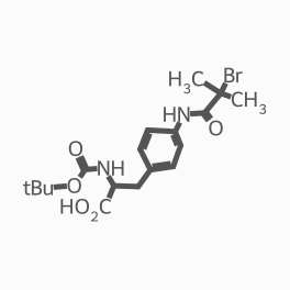 CC(C)(C)OC(=O)NC(Cc1ccc(NC(=O)C(C)(C)Br)cc1)C(=O)O